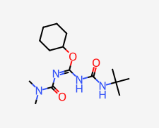 CN(C)C(=O)N=C(NC(=O)NC(C)(C)C)OC1CCCCC1